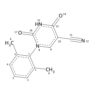 Cc1cccc(C)c1-n1cc(C#N)c(=O)[nH]c1=O